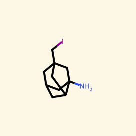 NC12CC3CC1CC(CI)(C3)C2